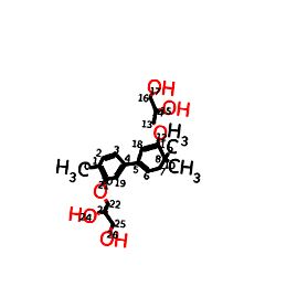 Cc1ccc(C2=CCC(C)(C)C(OCC(O)CO)=C2)cc1OCC(O)CO